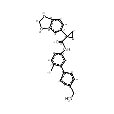 NCc1ccc(-c2cc(NC(=O)C3(c4ccc5c(c4)OCO5)CC3)ccc2F)cc1